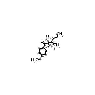 CCCN(C)C(C)(C)C(=O)c1ccc(SC)cc1